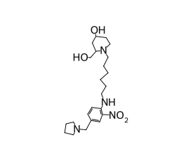 O=[N+]([O-])c1cc(CN2CCCC2)ccc1NCCCCCCN1CCC(O)CC1CO